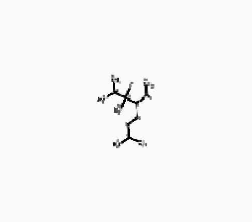 COC(CCC(C)C)C(F)(P)C(C)C